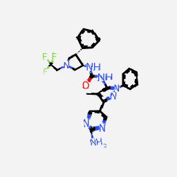 Cc1c(-c2cnc(N)nc2)nn(-c2ccccc2)c1NC(=O)N[C@H]1CN(CC(F)(F)F)C[C@@H]1c1ccccc1